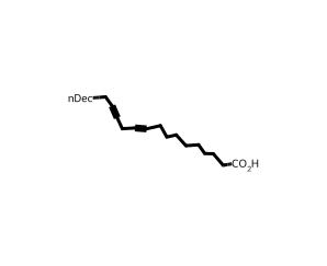 CCCCCCCCCCCC#CCC#CCCCCCCCCC(=O)O